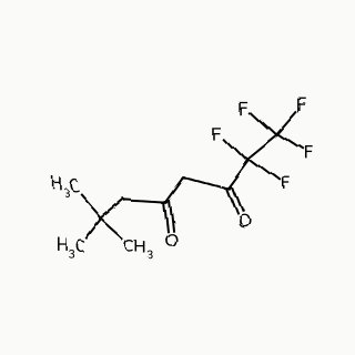 CC(C)(C)CC(=O)CC(=O)C(F)(F)C(F)(F)F